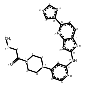 COCC(=O)N1CCN(c2ccnc(Nc3nc4ccc(-c5cncs5)nc4s3)c2)CC1